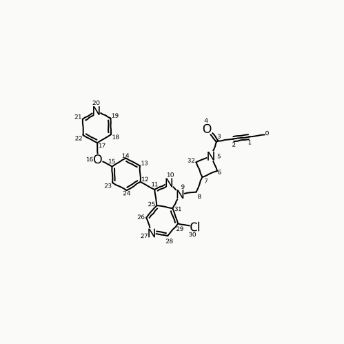 CC#CC(=O)N1CC(Cn2nc(-c3ccc(Oc4ccncc4)cc3)c3cncc(Cl)c32)C1